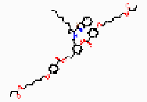 C=CC(=O)OCCCCCCOc1ccc(C(=O)OCCc2ccc(OC(=O)c3ccc(OCCCCCCOC(=O)C=C)cc3)c(/C=N/C3(c4nc5ccccc5s4)CC3CCCCCC)c2)cc1